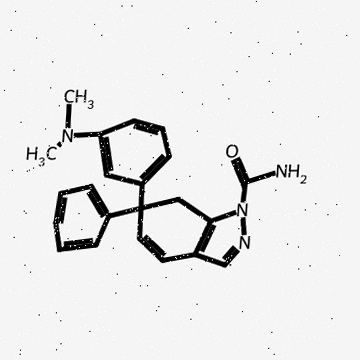 CN(C)c1cccc(C2(c3ccccc3)C=Cc3[c]nn(C(N)=O)c3C2)c1